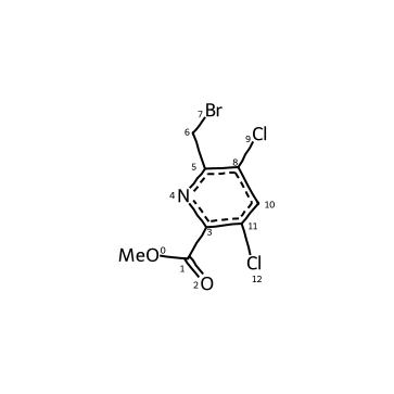 COC(=O)c1nc(CBr)c(Cl)cc1Cl